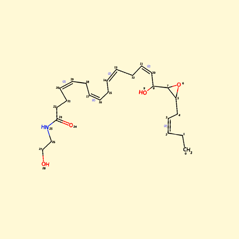 CC/C=C\CC1OC1C(O)/C=C\C/C=C\C/C=C\C/C=C\CCC(=O)NCCO